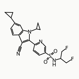 N#Cc1c(-c2ccc(S(=O)(=O)NC(CF)CF)cn2)n(C2CC2)c2cc(C3CC3)ccc12